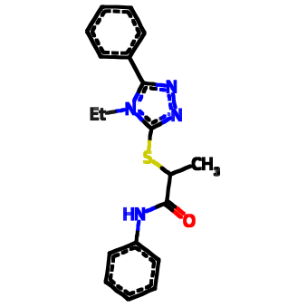 CCn1c(SC(C)C(=O)Nc2ccccc2)nnc1-c1ccccc1